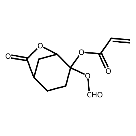 C=CC(=O)OC1(OC=O)CCC2CC1OC2=O